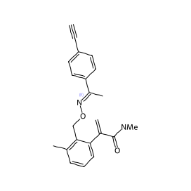 C#Cc1ccc(/C(C)=N/OCc2c(C)cccc2C(=C)C(=O)NC)cc1